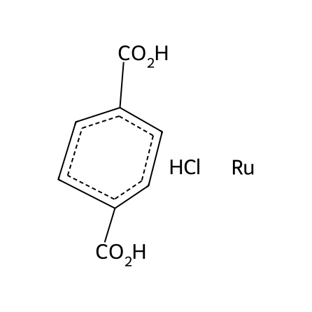 Cl.O=C(O)c1ccc(C(=O)O)cc1.[Ru]